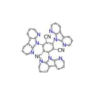 N#Cc1c(-n2c3ncccc3c3cccnc32)c(C#N)c(-n2c3ncccc3c3cccnc32)c(C#N)c1-n1c2ncccc2c2cccnc21